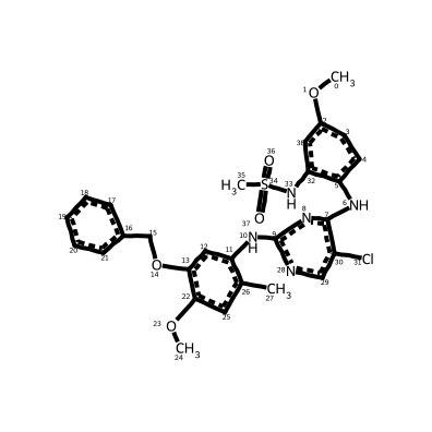 COc1ccc(Nc2nc(Nc3cc(OCc4ccccc4)c(OC)cc3C)ncc2Cl)c(NS(C)(=O)=O)c1